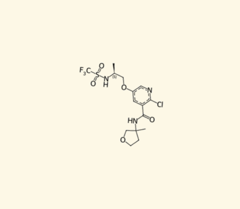 C[C@@H](COc1cnc(Cl)c(C(=O)NC2(C)CCOC2)c1)NS(=O)(=O)C(F)(F)F